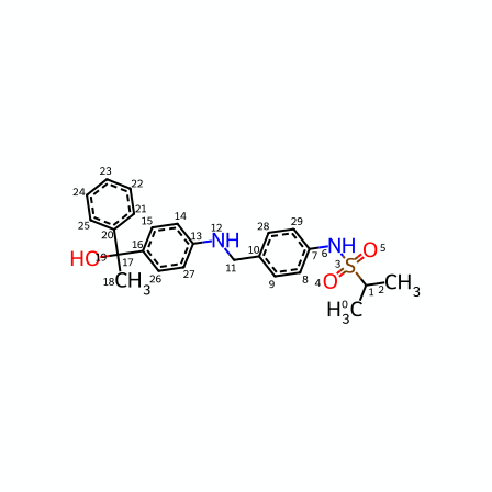 CC(C)S(=O)(=O)Nc1ccc(CNc2ccc(C(C)(O)c3ccccc3)cc2)cc1